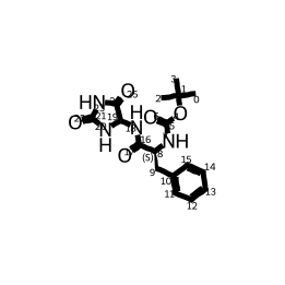 CC(C)(C)OC(=O)N[C@@H](Cc1ccccc1)C(=O)NC1NC(=O)NC1=O